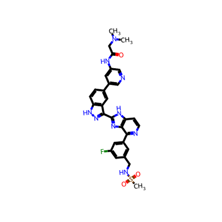 CN(C)CC(=O)Nc1cncc(-c2ccc3[nH]nc(-c4nc5c(-c6cc(F)cc(CNS(C)(=O)=O)c6)nccc5[nH]4)c3c2)c1